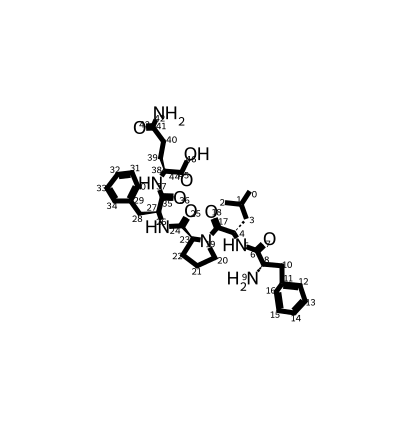 CC(C)C[C@H](NC(=O)[C@@H](N)Cc1ccccc1)C(=O)N1CCC[C@H]1C(=O)N[C@@H](Cc1ccccc1)C(=O)N[C@@H](CCC(N)=O)C(=O)O